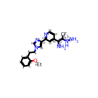 CCOc1ccccc1CCn1cnc(-c2cc(/C(N)=C(/NN)C(F)(F)F)ccn2)c1